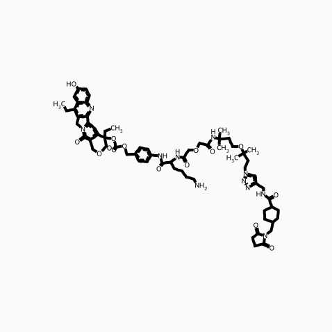 CCc1c2c(nc3ccc(O)cc13)-c1cc3c(c(=O)n1C2)COC(=O)C3(CC)OC(=O)OCc1ccc(NC(=O)C(CCCCN)NC(=O)COCC(=O)NC(C)(C)CCOC(C)(C)CCn2cc(CNC(=O)C3CCC(CN4C(=O)CCC4=O)CC3)nn2)cc1